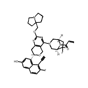 C#Cc1c(F)ccc2cc(O)cc([C@@H]3Cc4nc(OCC56CCCN5CCC6)nc(N5C[C@H]6CC(F)(F)[C@@H](C5)N6C(=O)C=C)c4CO3)c12